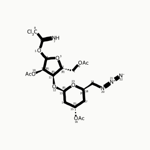 CC(=O)OC[C@H]1OC(OC(=N)C(Cl)(Cl)Cl)[C@H](OC(C)=O)[C@@H]1O[C@@H]1C[C@@H](OC(C)=O)C[C@H](CN=[N+]=[N-])O1